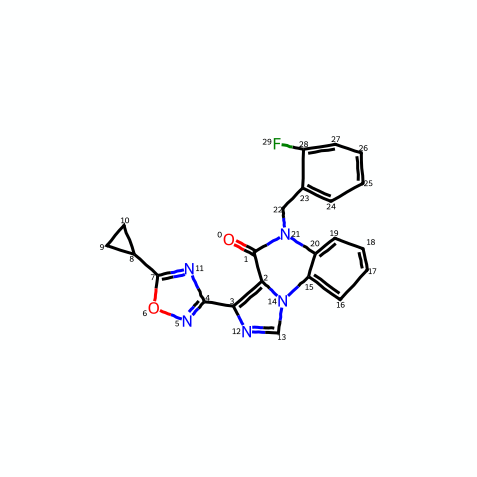 O=c1c2c(-c3noc(C4CC4)n3)ncn2c2ccccc2n1Cc1ccccc1F